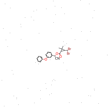 CC1(C)C(C(=O)OC(C#N)c2cccc(Oc3ccccc3)c2)C1C(Br)Br